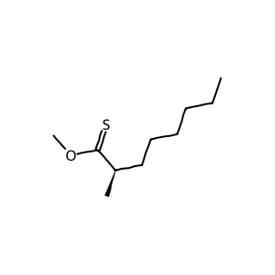 CCCCCC[C@@H](C)C(=S)OC